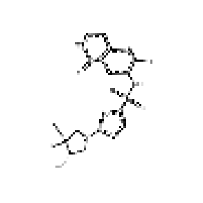 O=c1[nH]ccc2cc(F)c(NS(=O)(=O)c3ccc(N4C[C@H](O)C(F)(F)C4)s3)cc12